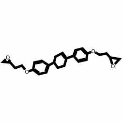 C1=C(c2ccc(OCCC3CO3)cc2)CCC(c2ccc(OCCC3CO3)cc2)C1